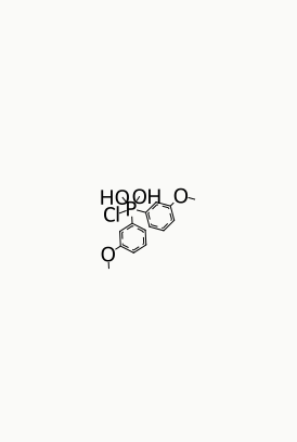 COc1cccc(P(O)(O)(Cl)c2cccc(OC)c2)c1